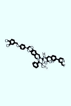 CC[C@@H](c1ccccc1)N1Cc2cc3c(cc2C[C@H]1C(=O)NC(Cc1ccc(-c2ccnc(CF)c2)cc1)C(=O)O)OC[C@H](c1ccc(OCc2ccc(Cl)c(Cl)c2)cc1)O3